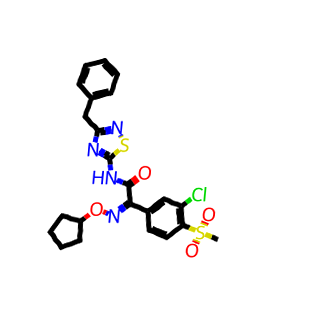 CS(=O)(=O)c1ccc(C(=NOC2CCCC2)C(=O)Nc2nc(Cc3ccccc3)ns2)cc1Cl